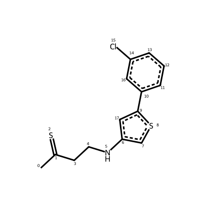 CC(=S)CCNc1csc(-c2cccc(Cl)c2)c1